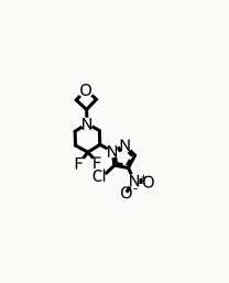 O=[N+]([O-])c1cnn(C2CN(C3COC3)CCC2(F)F)c1Cl